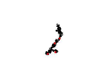 CCn1c2ccc(CN(C)C(=O)CCOCCn3cc(COc4ccc(CCc5nc6cc(-c7c(C)noc7C)ccc6n5CCN5CCOCC5)cc4F)nn3)cc2c2ccc(-c3cscn3)cc21